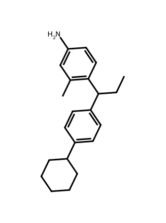 CCC(c1ccc(C2CCCCC2)cc1)c1ccc(N)cc1C